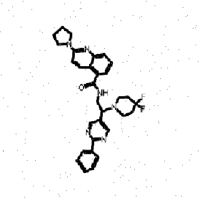 O=C(NCC(c1cnc(-c2ccccc2)nc1)N1CCC(F)(F)CC1)c1cccc2nc(N3CCCC3)ccc12